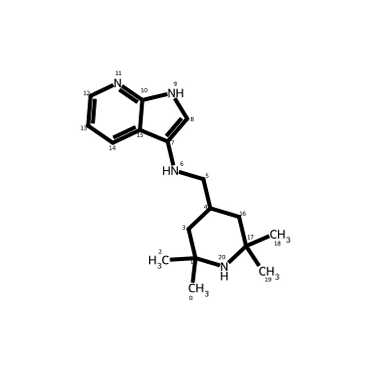 CC1(C)CC(CNc2c[nH]c3ncccc23)CC(C)(C)N1